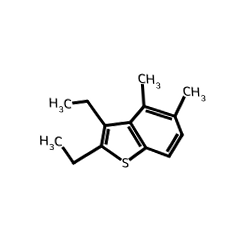 CCc1sc2ccc(C)c(C)c2c1CC